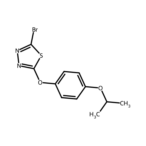 CC(C)Oc1ccc(Oc2nnc(Br)s2)cc1